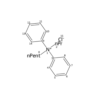 CCCCC[N+](CCC)(c1ccccc1)c1ccccc1.[Cl-]